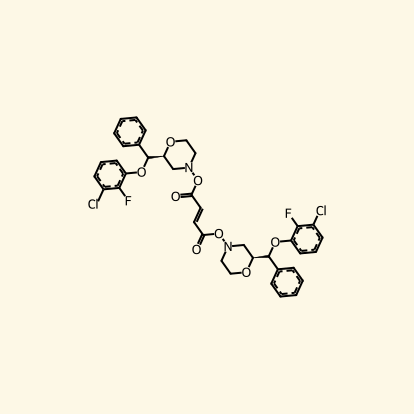 O=C(/C=C/C(=O)ON1CCO[C@H](C(Oc2cccc(Cl)c2F)c2ccccc2)C1)ON1CCO[C@H](C(Oc2cccc(Cl)c2F)c2ccccc2)C1